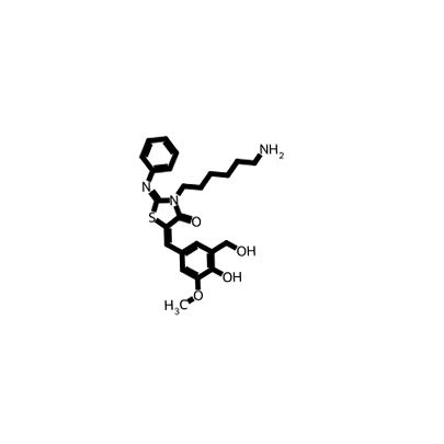 COc1cc(/C=C2/S/C(=N/c3ccccc3)N(CCCCCCN)C2=O)cc(CO)c1O